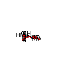 Cn1cc(-c2cc(N3CCCCS3)ccc2Oc2ccc(CCC3CCN(c4ccc(C(=O)NC5CCCCC5)nn4)CC3)cc2)c2cc[nH]c2c1=O